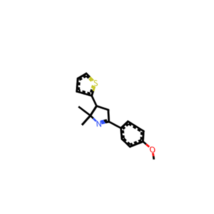 COc1ccc(C2=NC(C)(C)C(c3cccs3)C2)cc1